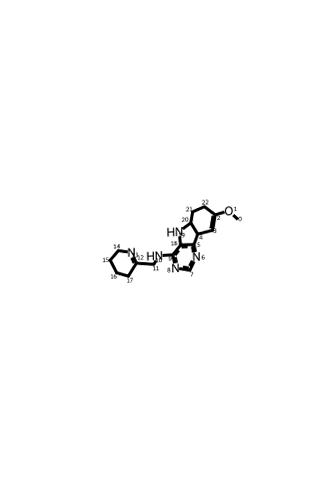 COC1=CC2c3ncnc(NCC4=NCCCC4)c3NC2CC1